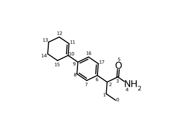 CCC(C(N)=O)c1ccc(C2=CCCCC2)cc1